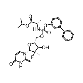 C=C1NC(=O)C=CN1[C@@H]1O[C@H](COP(=O)(N[C@@H](C)C(=O)OC(C)C)Oc2cccc(-c3ccccc3)c2)[C@@H](O)[C@@]1(C)F